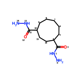 NNC(=O)C1CCCCCC(C(=O)NN)CC1